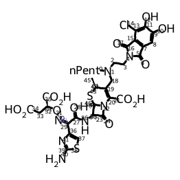 CCCCCN(CCN1C(=O)c2cc(O)c(O)c(Cl)c2C1=O)CC1=C(C(=O)O)N2C(=O)[C@@H](NC(=O)/C(=N\O[C@@H](CC(=O)O)C(=O)O)c3csc(N)n3)[C@H]2S[C@H]1C